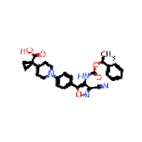 CC(OC(=O)Nc1c(C#N)noc1-c1ccc(N2CCC(C3(C(=O)O)CC3)CC2)cc1)c1ccccc1